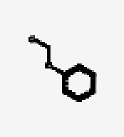 ClCOc1ccccc1